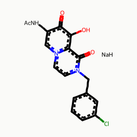 CC(=O)Nc1cn2ccn(Cc3cccc(Cl)c3)c(=O)c2c(O)c1=O.[NaH]